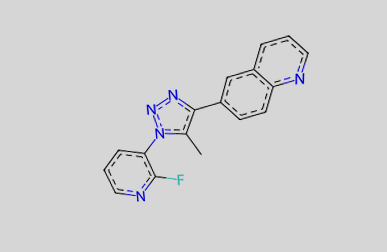 Cc1c(-c2ccc3ncccc3c2)nnn1-c1cccnc1F